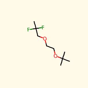 CC(F)(F)COCCOC(C)(C)C